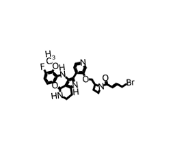 COc1c(F)cccc1Nc1c(-c2ccncc2OCC2CCN2C(=O)/C=C/CBr)[nH]c2c1C(=O)NCC2